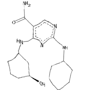 NC(=O)c1cnc(NC2CCCCC2)nc1NC1CCC[C@H](O)C1